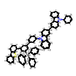 c1ccc(-n2c3ccccc3c3cc(-c4ccc5c(c4)c4ccccc4n5-c4cccc(-c5cc(-c6cccc7c6sc6ccccc67)cc([Si](c6ccccc6)(c6ccccc6)c6ccccc6)c5)c4)ccc32)cc1